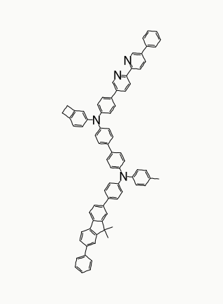 Cc1ccc(N(c2ccc(-c3ccc(N(c4ccc(-c5ccc(-c6ccc(-c7ccccc7)cn6)nc5)cc4)c4ccc5c(c4)CC5)cc3)cc2)c2ccc(-c3ccc4c(c3)C(C)(C)c3cc(-c5ccccc5)ccc3-4)cc2)cc1